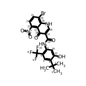 CC(C)(C)c1cc(C(F)(F)F)c(NC(=O)c2c[nH]c3c(Br)ccc([N+](=O)[O-])c3c2=O)cc1O